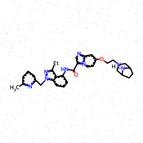 CCc1nn(Cc2cccc(C)n2)c2cccc(NC(=O)c3cnc4cc(OCCN5CC6CCC(C5)N6C)ccn34)c12